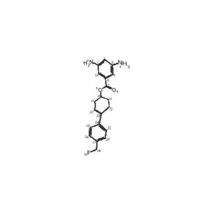 Nc1cc(N)cc(C(=O)OC2CCC(c3ccc(CF)cc3)CC2)c1